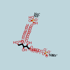 O.O.O.O.O.O.O.O.O.O.O.O.O.O.O=P([O-])(O)O.O=P([O-])([O-])[O-].OCC(O)C(O)C(O)CO.[Na+].[Na+].[Na+].[Na+]